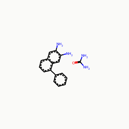 NC(N)=O.Nc1cc2cccc(-c3ccccc3)c2cc1N